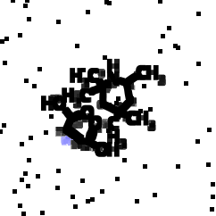 CC1CC(C)(C)CC(C)(C)N1.O=C(O)/C=C\C(=O)O